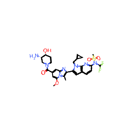 COc1cc(C(=O)N2CC[C@@H](O)[C@@H](N)C2)cc2nc(-c3cc4ccc(N(C(F)F)S(C)(=O)=O)nc4n3CC3CC3)c(C)n12